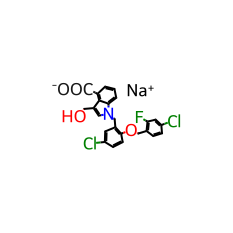 O=C([O-])c1cccc2c1c(CO)cn2Cc1cc(Cl)ccc1OCc1ccc(Cl)cc1F.[Na+]